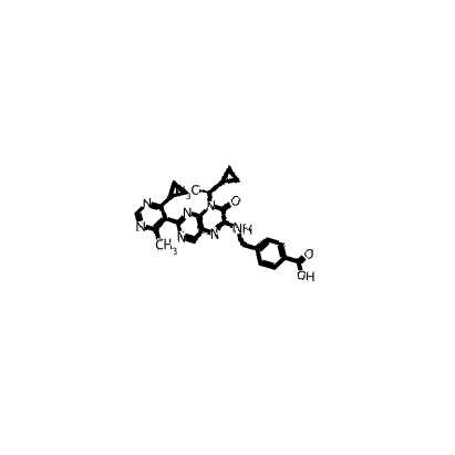 Cc1ncnc(C2CC2)c1-c1ncc2nc(NCc3ccc(C(=O)O)cc3)c(=O)n([C@@H](C)C3CC3)c2n1